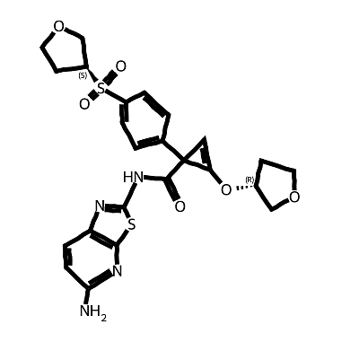 Nc1ccc2nc(NC(=O)C3(c4ccc(S(=O)(=O)[C@H]5CCOC5)cc4)C=C3O[C@@H]3CCOC3)sc2n1